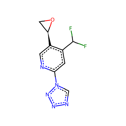 FC(F)c1cc(-n2cnnn2)ncc1[C@H]1CO1